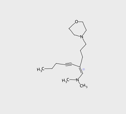 CCCC#C/C(=C\N(C)C)CCCN1CCOCC1